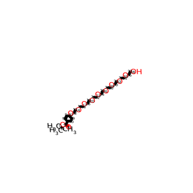 CC(C)(C)OC(=O)c1ccc(OCCOCCOCCOCCOCCOCCOCCOCCOCCO)cc1